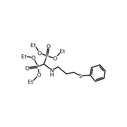 CCOP(=O)(OCC)C(NCCCSc1ccccc1)P(=O)(OCC)OCC